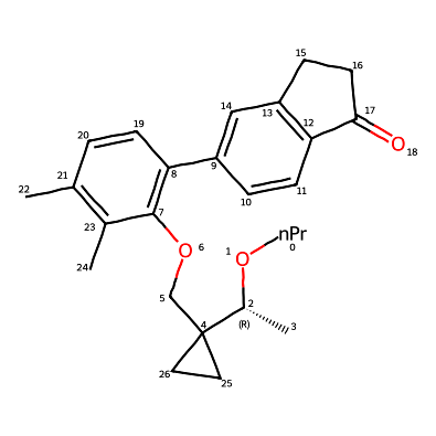 CCCO[C@H](C)C1(COc2c(-c3ccc4c(c3)CCC4=O)ccc(C)c2C)CC1